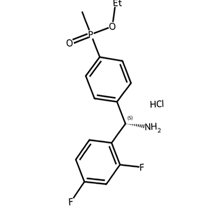 CCOP(C)(=O)c1ccc([C@H](N)c2ccc(F)cc2F)cc1.Cl